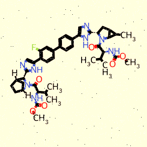 COC(=O)NC(C(=O)N1[C@@H]2CC[C@@H](C2)[C@H]1c1ncc(-c2ccc(-c3ccc(-c4cnc([C@@H]5CC6C(C)C6N5C(=O)[C@@H](NC(=O)OC)C(C)C)[nH]4)cc3)cc2F)[nH]1)C(C)C